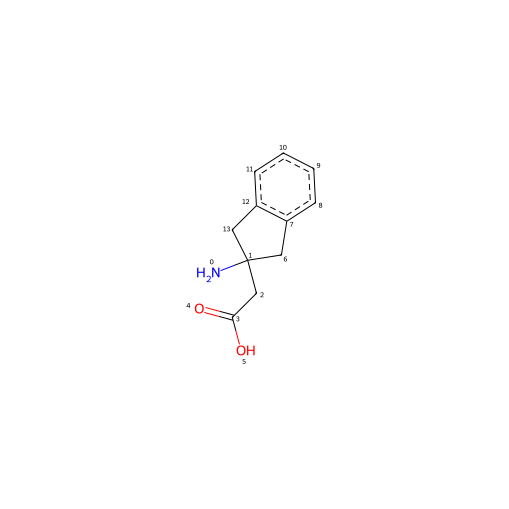 NC1(CC(=O)O)Cc2ccccc2C1